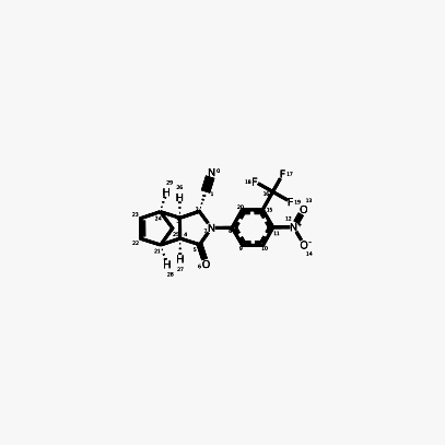 N#C[C@H]1[C@H]2[C@@H](C(=O)N1c1ccc([N+](=O)[O-])c(C(F)(F)F)c1)[C@H]1C=C[C@@H]2C1